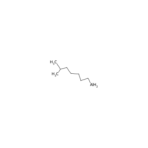 CC(C)CCCC[CH2][AlH2]